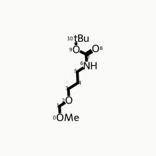 COCOCCCNC(=O)OC(C)(C)C